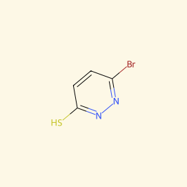 Sc1ccc(Br)nn1